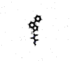 C/C=C(C)/C(C)=[C](\C)[Zr][CH]1C=Cc2c(-c3ccccc3)cccc21